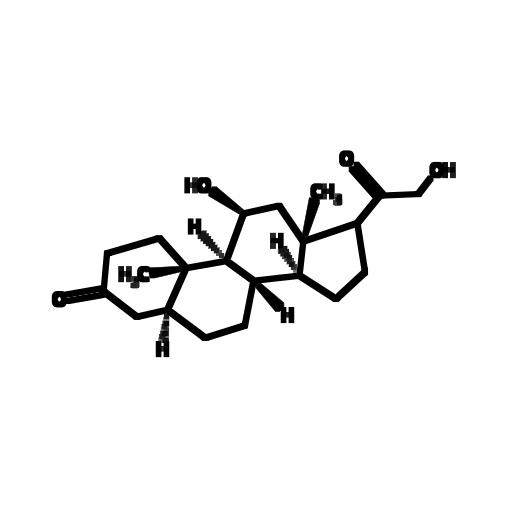 C[C@]12CCC(=O)C[C@@H]1CC[C@@H]1[C@@H]2[C@@H](O)C[C@]2(C)C(C(=O)CO)CC[C@@H]12